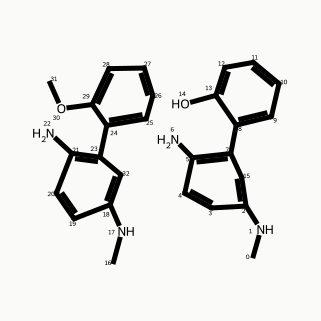 CNc1ccc(N)c(-c2ccccc2O)c1.CNc1ccc(N)c(-c2ccccc2OC)c1